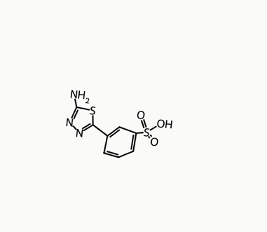 Nc1nnc(-c2cccc(S(=O)(=O)O)c2)s1